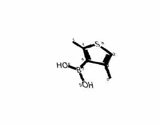 Cc1csc(C)c1B(O)O